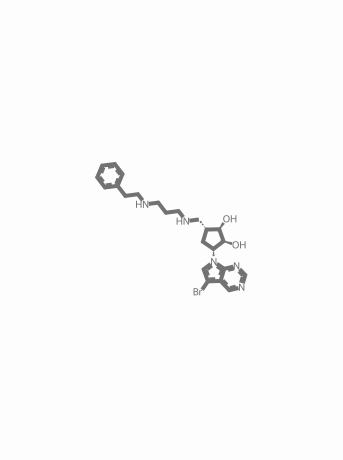 O[C@@H]1[C@@H](CNCCCNCCc2ccccc2)C[C@@H](n2cc(Br)c3cncnc32)[C@@H]1O